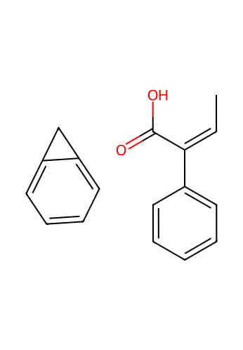 CC=C(C(=O)O)c1ccccc1.c1ccc2c(c1)C2